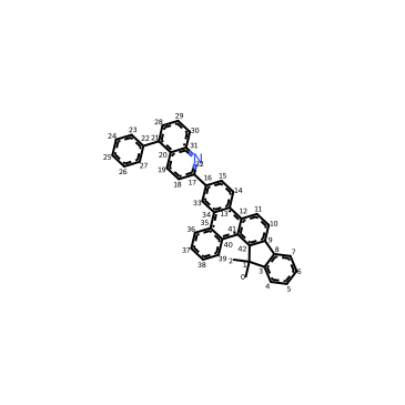 CC1(C)c2ccccc2-c2ccc3c4ccc(-c5ccc6c(-c7ccccc7)cccc6n5)cc4c4ccccc4c3c21